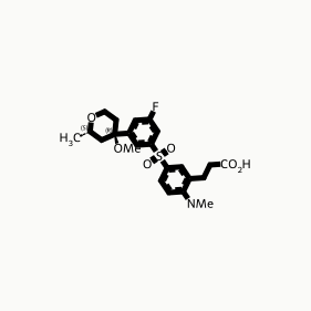 CNc1ccc(S(=O)(=O)c2cc(F)cc([C@@]3(OC)CCO[C@@H](C)C3)c2)cc1CCC(=O)O